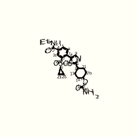 CCNC(=O)c1ccc(-c2cnc(C3CCC(OC(N)=O)CC3)s2)c(S(=O)(=O)C2CC2)c1